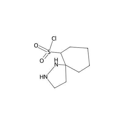 O=S(=O)(Cl)C1CCCCC12CCNN2